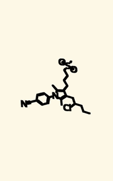 CCCC(Cl)Cc1c(CCCCS(C)(=O)=O)c(C)n(-c2ccc(C#N)cc2)c1C